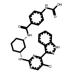 O=C(O)Nc1ccc(C(=O)N[C@H]2CCC[C@@H](Nc3ncc(Cl)c(-c4n[nH]c5ccccc45)n3)C2)cc1